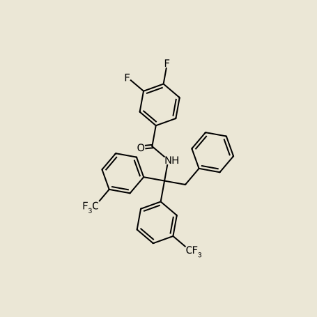 O=C(NC(Cc1ccccc1)(c1cccc(C(F)(F)F)c1)c1cccc(C(F)(F)F)c1)c1ccc(F)c(F)c1